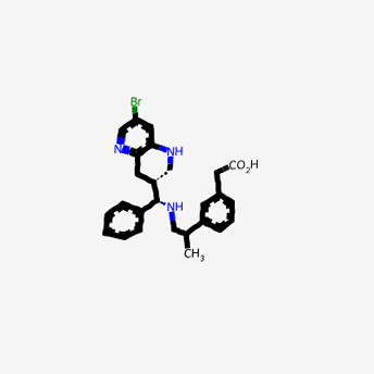 CC(CN[C@H](c1ccccc1)[C@H]1CNc2cc(Br)cnc2C1)c1cccc(CC(=O)O)c1